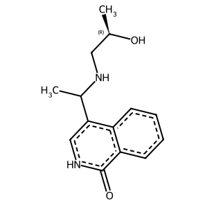 CC(NC[C@@H](C)O)c1c[nH]c(=O)c2ccccc12